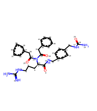 N=C(N)NCCC[C@H](C(=O)NCc1ccc(CNC(N)=O)cc1)N(C(=O)Cc1ccccc1)C(=O)Cc1ccccc1